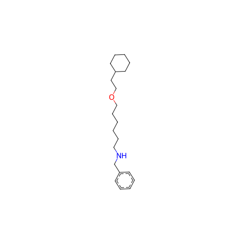 c1ccc(CNCCCCCCOCCC2CCCCC2)cc1